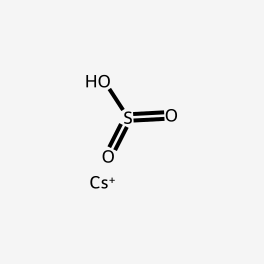 O=[S-](=O)O.[Cs+]